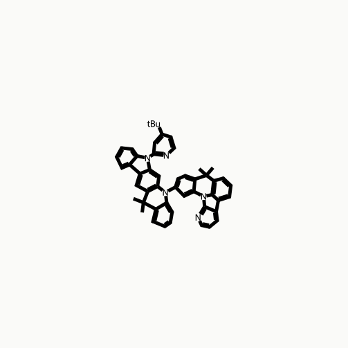 CC(C)(C)c1ccnc(-n2c3ccccc3c3cc4c(cc32)N(c2ccc3c(c2)-n2c5ncccc5c5cccc(c52)C3(C)C)c2ccccc2C4(C)C)c1